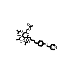 CC(=O)OC[C@H]1O[C@](O)(CCCCc2ccc(OCc3ccncc3)cc2)[C@H](OC(C)=O)[C@@H](OC(C)=O)[C@@H]1OC(C)=O